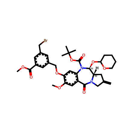 C=C1C[C@H]2[C@H](OC3CCCCO3)N(C(=O)OC(C)(C)C)c3cc(OCc4cc(CBr)cc(C(=O)OC)c4)c(OC)cc3C(=O)N2C1